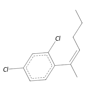 CCC/C=C(/C)c1ccc(Cl)cc1Cl